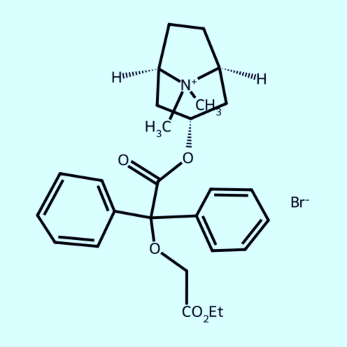 CCOC(=O)COC(C(=O)O[C@@H]1C[C@H]2CC[C@@H](C1)[N+]2(C)C)(c1ccccc1)c1ccccc1.[Br-]